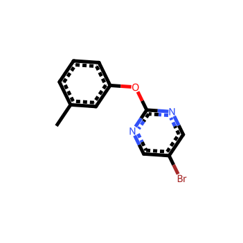 Cc1cccc(Oc2ncc(Br)cn2)c1